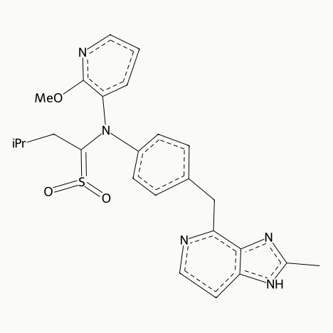 COc1ncccc1N(C(CC(C)C)=S(=O)=O)c1ccc(Cc2nccc3[nH]c(C)nc23)cc1